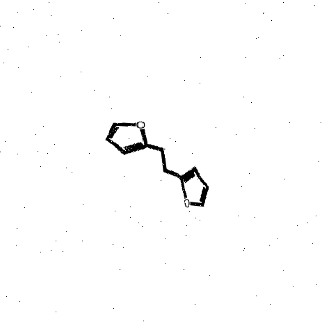 [CH](Cc1ccco1)c1ccco1